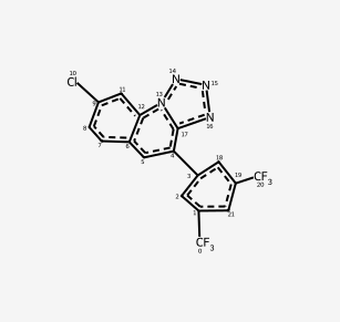 FC(F)(F)c1cc(-c2cc3ccc(Cl)cc3n3nnnc23)cc(C(F)(F)F)c1